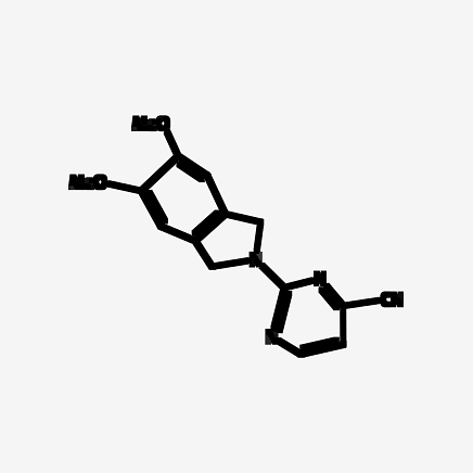 COc1cc2c(cc1OC)CN(c1nccc(C#N)n1)C2